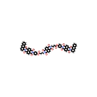 O=C(CCCN1C(=O)c2ccc3c4c(ccc(c24)C1=O)C(=O)N(CCCC(=O)Oc1ccc(N2C(=O)c4ccc5c6c(ccc(c46)C2=O)C(=O)N(c2cccc4cc6ccccc6cc24)C5=O)cc1)C3=O)Oc1ccc(N2C(=O)c3ccc4c5c(ccc(c35)C2=O)C(=O)N(c2cccc3cc5ccccc5cc23)C4=O)cc1